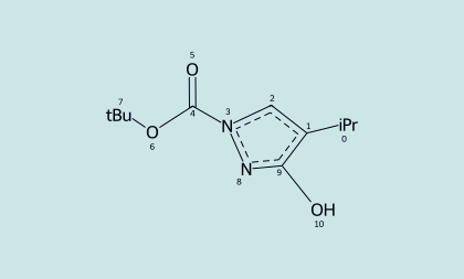 CC(C)c1cn(C(=O)OC(C)(C)C)nc1O